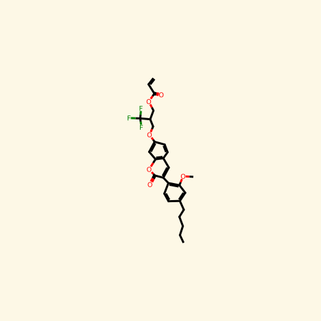 C=CC(=O)OCC(COc1ccc2cc(-c3ccc(CCCCC)cc3OC)c(=O)oc2c1)C(F)(F)F